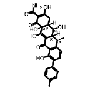 Cc1ccc(-c2ccc3c(c2O)C(=O)C2=C(O)[C@]4(O)C(=O)C(C(N)=O)=C(O)C[C@@H]4[C@@H](O)[C@@H]2[C@H]3C)cc1